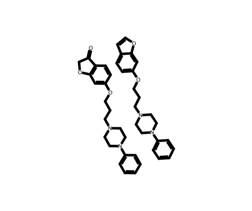 O=C1COc2cc(OCCCN3CCN(c4ccccc4)CC3)ccc21.c1ccc(N2CCN(CCCOc3ccc4ccoc4c3)CC2)cc1